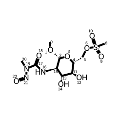 CO[C@@H]1O[C@H](COS(C)(=O)=O)[C@@H](O)[C@H](O)[C@H]1NC(=O)N(C)N=O